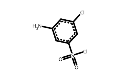 Nc1cc(Cl)cc(S(=O)(=O)Cl)c1